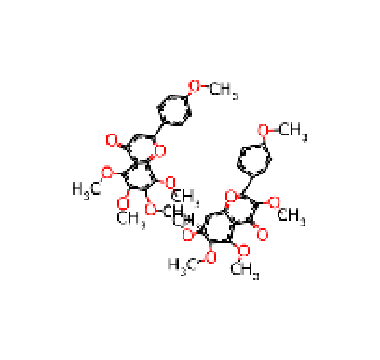 COc1ccc(-c2cc(=O)c3c(OC)c(OC)c(OC)c(OC)c3o2)cc1.COc1ccc(-c2oc3cc(OC)c(OC)c(OC)c3c(=O)c2OC)cc1